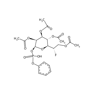 CC(=O)OC[C@H](F)[C@H]1O[C@@H](OP(=O)(O)Oc2ccccc2)[C@@H](OC(C)=O)[C@@H](OC(C)=O)[C@@H]1OC(C)=O